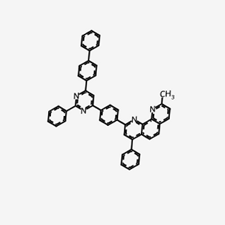 Cc1ccc2ccc3c(-c4ccccc4)cc(-c4ccc(-c5cc(-c6ccc(-c7ccccc7)cc6)nc(-c6ccccc6)n5)cc4)nc3c2n1